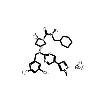 CC[C@@H]1C[C@H](N(Cc2cc(C(F)(F)F)cc(C(F)(F)F)c2)c2ncc(-c3cnn(C)c3)cn2)CN1C(=O)N(CC)CC1CCCCC1.O=C(O)O